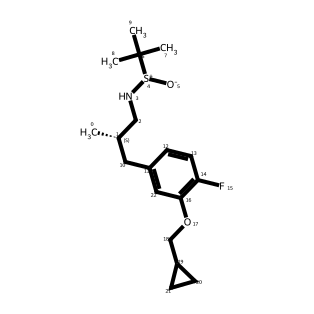 C[C@H](CN[S+]([O-])C(C)(C)C)Cc1ccc(F)c(OCC2CC2)c1